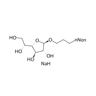 CCCCCCCCCCCCO[C@@H]1O[C@@H]([C@H](O)CO)[C@H](O)[C@H]1O.[NaH]